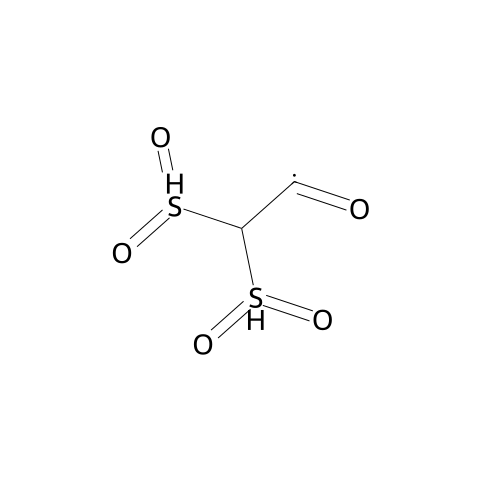 O=[C]C([SH](=O)=O)[SH](=O)=O